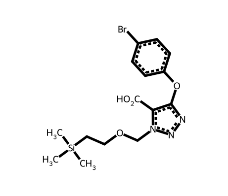 C[Si](C)(C)CCOCn1nnc(Oc2ccc(Br)cc2)c1C(=O)O